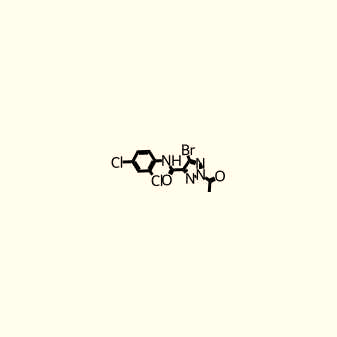 CC(=O)n1nc(Br)c(C(=O)Nc2ccc(Cl)cc2Cl)n1